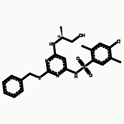 Cc1cc(S(=O)(=O)Nc2cc(N[C@H](C)CO)nc(SCc3ccccc3)n2)c(C)cc1Cl